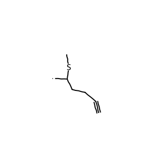 C#CCCC([CH2])SC